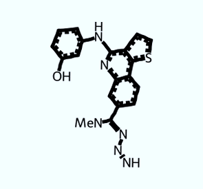 CN/C(=N\N=N)c1ccc2c(c1)nc(Nc1cccc(O)c1)c1ccsc12